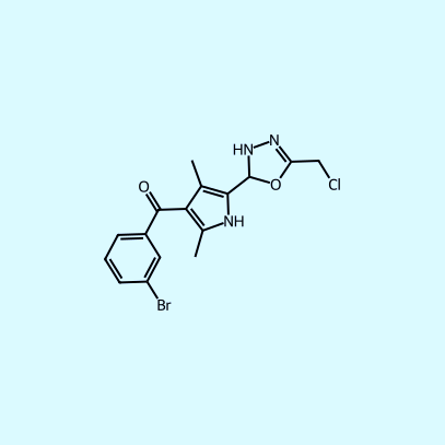 Cc1[nH]c(C2NN=C(CCl)O2)c(C)c1C(=O)c1cccc(Br)c1